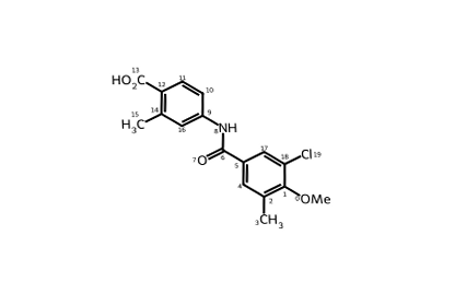 COc1c(C)cc(C(=O)Nc2ccc(C(=O)O)c(C)c2)cc1Cl